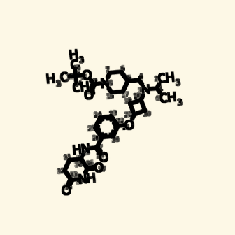 CC(C)N(CC1CCN(C(=O)OC(C)(C)C)CC1)C1CC(Oc2cccc(C(=O)N[C@@H]3CCC(=O)NC3=O)c2)C1